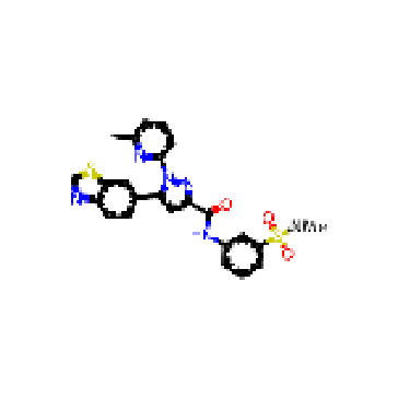 CNS(=O)(=O)c1cccc(NC(=O)c2cc(-c3ccc4ncsc4c3)n(-c3cccc(C)n3)n2)c1